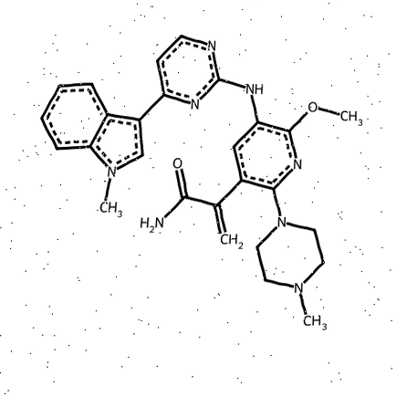 C=C(C(N)=O)c1cc(Nc2nccc(-c3cn(C)c4ccccc34)n2)c(OC)nc1N1CCN(C)CC1